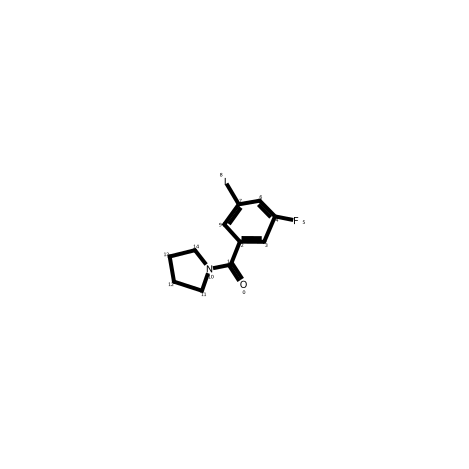 O=C(c1cc(F)cc(I)c1)N1CCCC1